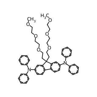 COCCOCCOCCC1(CCOCCOCCOC)c2cc(N(c3ccccc3)c3ccccc3)ccc2-c2ccc(N(c3ccccc3)c3ccccc3)cc21